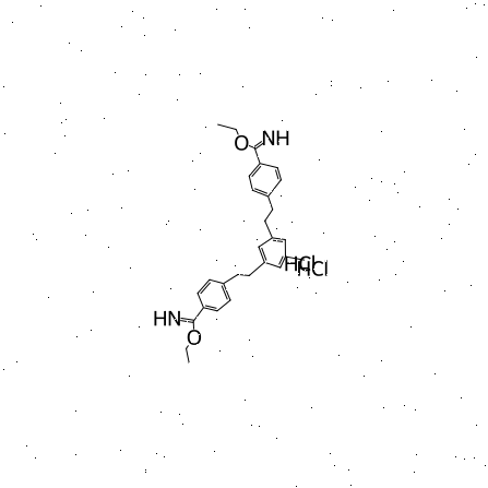 CCOC(=N)c1ccc(CCc2cc(C)cc(CCc3ccc(C(=N)OCC)cc3)c2)cc1.Cl.Cl